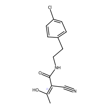 C/C(O)=C(\C#N)C(=O)NCCc1ccc(Cl)cc1